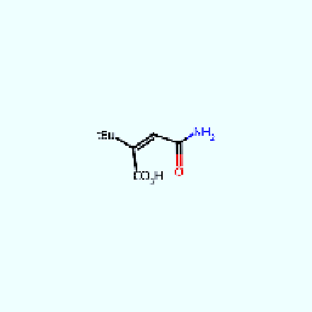 CC(C)(C)C(=CC(N)=O)C(=O)O